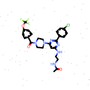 CC(=O)NCCNc1cc(N2CCN(C(=O)c3ccc(OC(F)(F)F)cc3)CC2)nc(-c2ccc(Cl)cc2)n1